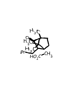 CC(=O)O.CC(C)CC1C(=O)C2(C)CCC1C2(C)C